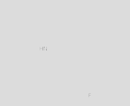 Fc1cccc(-c2cc3ccccc3[nH]2)c1